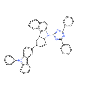 C1=CC2C(C=C1c1ccc3c(c1)c1ccccc1n3-c1ccccc1)c1c(ccc3ccccc13)N2c1nc(-c2ccccc2)nc(-c2ccccc2)n1